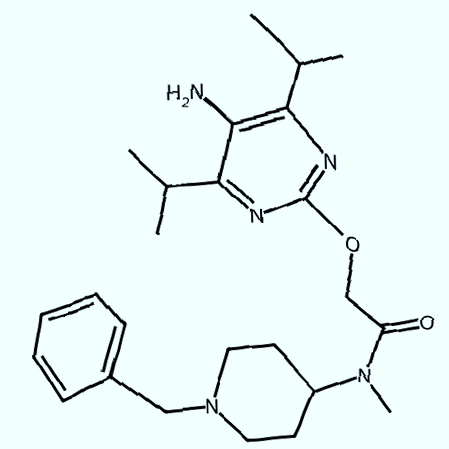 CC(C)c1nc(OCC(=O)N(C)C2CCN(Cc3ccccc3)CC2)nc(C(C)C)c1N